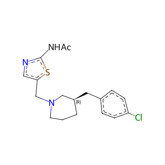 CC(=O)Nc1ncc(CN2CCC[C@H](Cc3ccc(Cl)cc3)C2)s1